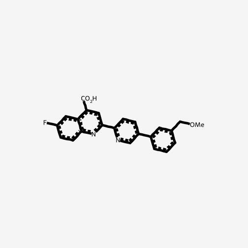 COCc1cccc(-c2ccc(-c3cc(C(=O)O)c4cc(F)ccc4n3)nc2)c1